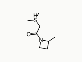 CC1CCN1C(=O)C[SH](C)C